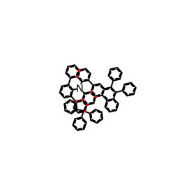 c1ccc(-c2cccc(-c3ccccc3)c2N(c2ccccc2-c2ccc3c(c2)c(-c2ccccc2)c(-c2ccccc2)c2ccccc23)c2cccc3c2-c2ccccc2C3(c2ccccc2)c2ccccc2)cc1